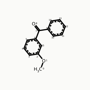 COc1cccc(C(=O)c2ccccc2)c1